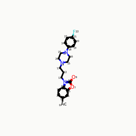 CC(=O)c1ccc2c(c1)oc(=O)n2CCCN1CCN(c2ccc(F)cc2)CC1